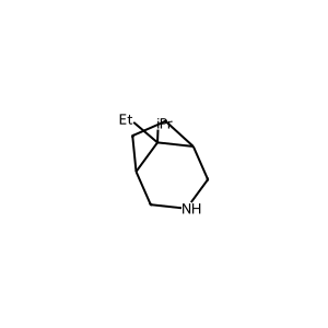 CCC1(C(C)C)C2CCC1CNC2